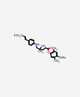 CCOC(=O)C=Cc1ccc(NCC(C)(C)CCC(=O)Oc2cc(C)c(OC)cc2C)cc1